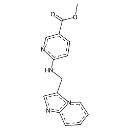 COC(=O)c1ccc(NCc2cnc3ccccn23)nc1